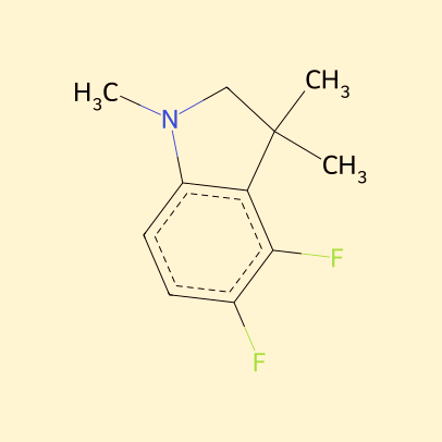 CN1CC(C)(C)c2c1ccc(F)c2F